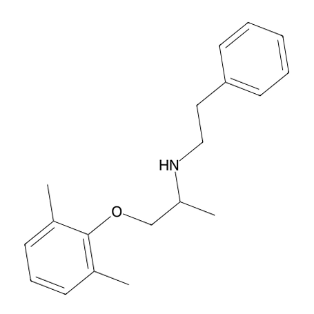 Cc1cccc(C)c1OCC(C)NCCc1ccccc1